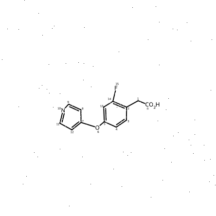 O=C(O)Cc1ccc(Oc2ccncc2)cc1F